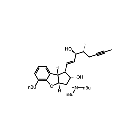 CC#CC[C@@H](C)[C@H](O)C=C[C@@H]1[C@H]2c3cccc(CCCC)c3O[C@H]2C[C@H]1O.CCCCNCCCC